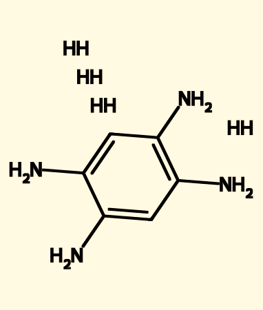 Nc1cc(N)c(N)cc1N.[HH].[HH].[HH].[HH]